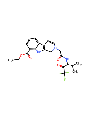 CCOC(=O)c1cccc2c3c([nH]c12)CN(CC(=O)NC(C(=O)C(F)(F)F)C(C)C)C=C3